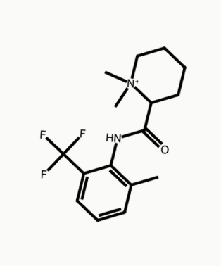 Cc1cccc(C(F)(F)F)c1NC(=O)C1CCCC[N+]1(C)C